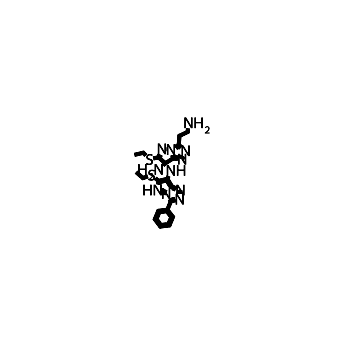 CCSC1=Nn2c(CCN)nnc2C1(N)Nc1c(SCC)[nH]n2c(-c3ccccc3)nnc12